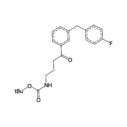 CC(C)(C)OC(=O)NCCCC(=O)c1cccc(Cc2ccc(F)cc2)c1